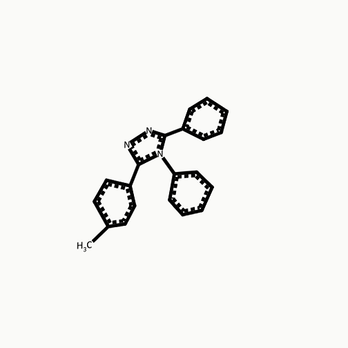 Cc1ccc(-c2nnc(-c3ccccc3)n2-c2ccccc2)cc1